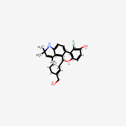 CC1=CC(C)(C)Nc2ccc3c(c21)[C@H]([C@@H]1C=C(CO)CCC1)Oc1ccc(O)c(Cl)c1-3